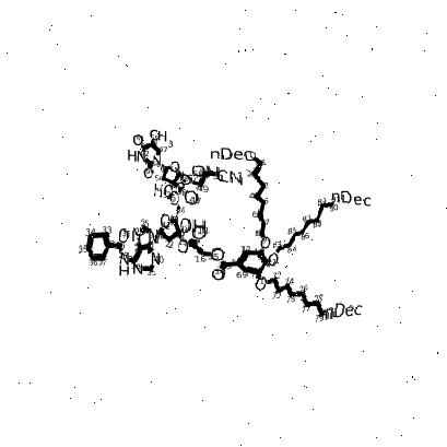 CCCCCCCCCCCCCCCCCCOc1cc(C(=O)OCC(=O)O[C@]2(O)C[C@H](n3cnc4c(NC(=O)c5ccccc5)ncnc43)O[C@@H]2COP(=O)(OCCC#N)[C@]2(O)C[C@H](n3cc(C)c(=O)[nH]c3=O)O[C@@H]2CO)cc(OCCCCCCCCCCCCCCCCCC)c1OCCCCCCCCCCCCCCCCCC